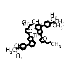 CCCc1ccc(C2=Cc3c(-c4ccc(C(C)(C)C)cc4)cccc3[CH]2[Ti+2][CH]2C(c3ccc(CCC)o3)=Cc3c(-c4ccc(C(C)(C)C)cc4)cccc32)o1.[Cl-].[Cl-]